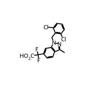 Cc1nn(Cc2c(Cl)cccc2Cl)c2cc(C(F)(F)C(=O)O)ccc12